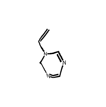 C=CN1C=NC=NC1